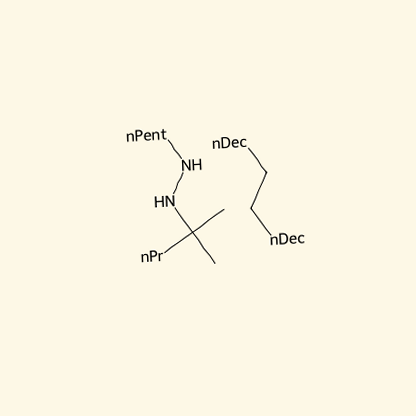 CCCCCCCCCCCCCCCCCCCCCC.CCCCCNNC(C)(C)CCC